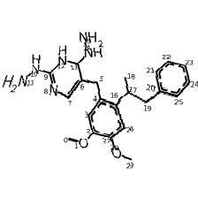 COc1cc(CC2=CN=C(NN)NC2NN)c(C(C)Cc2ccccc2)cc1OC